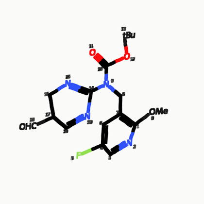 COc1ncc(F)cc1CN(C(=O)OC(C)(C)C)C1=NCC(C=O)C=N1